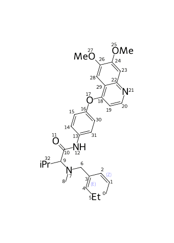 C/C=C\C(=C/CC)CN(C)C(C(=O)Nc1ccc(Oc2ccnc3cc(OC)c(OC)cc23)cc1)C(C)C